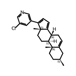 C[C@H]1CC[C@@]2(C)C(=CC[C@H]3C4=CC=C(c5cncc(Cl)c5)[C@@]4(C)CC[C@@H]32)C1